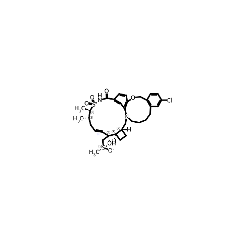 C[C@@H]1[C@@H](C)C/C=C/[C@](O)(C[S@@+](C)[O-])[C@@H]2CC[C@H]2CN2CCCCc3cc(Cl)ccc3COc3ccc(cc32)C(=O)NS1(=O)=O